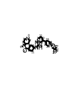 CN1CCC(N(C)C(=O)c2ccc(Nc3nc4c(C5=CCN(OCC(F)(F)F)CC5)cccn4n3)cc2)CC1